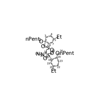 CCCCCOc1ccc(CC)cc1S(=O)(=O)C(=[N+]=[N-])S(=O)(=O)c1cc(CC)ccc1OCCCCC